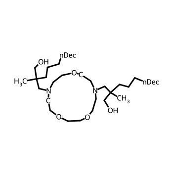 CCCCCCCCCCCCCC(C)(CO)CN1CCOCCOCCN(CC(C)(CO)CCCCCCCCCCCCC)CCOCC1